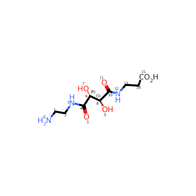 NCCNC(=O)[C@H](O)[C@H](O)C(=O)NCCC(=O)O